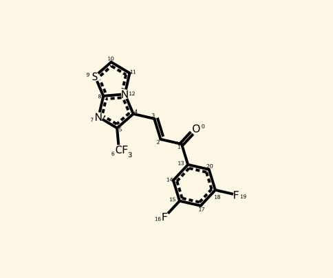 O=C(/C=C/c1c(C(F)(F)F)nc2sccn12)c1cc(F)cc(F)c1